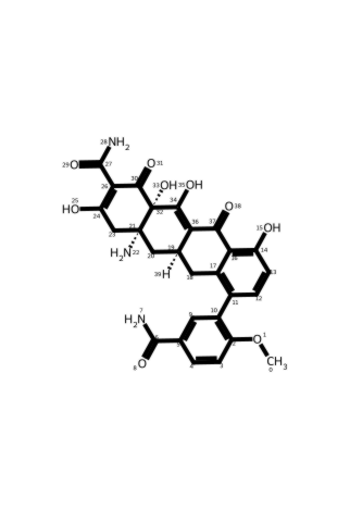 COc1ccc(C(N)=O)cc1-c1ccc(O)c2c1C[C@H]1C[C@@]3(N)CC(O)=C(C(N)=O)C(=O)[C@@]3(O)C(O)=C1C2=O